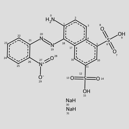 Nc1ccc2c(S(=O)(=O)O)cc(S(=O)(=O)O)cc2c1/N=N/c1ccccc1[N+](=O)[O-].[NaH].[NaH]